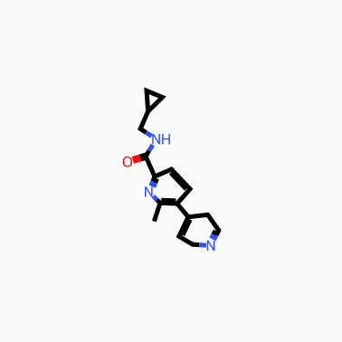 Cc1nc(C(=O)NCC2CC2)ccc1C1=CCN=CC1